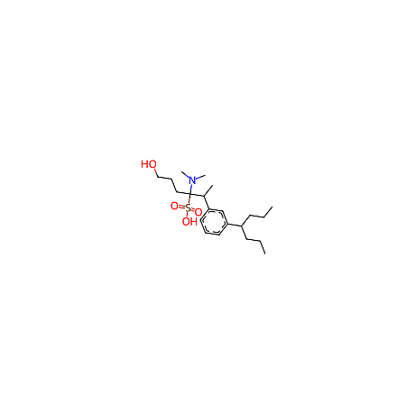 CCCC(CCC)c1cccc(C(C)C(CCCO)(N(C)C)S(=O)(=O)O)c1